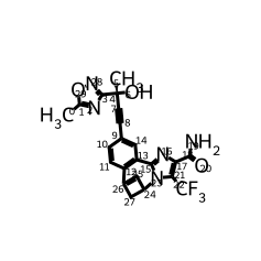 Cc1nc([C@](C)(O)C#Cc2ccc3c(c2)-c2nc(C(N)=O)c(C(F)(F)F)n2C2C=C3C2)no1